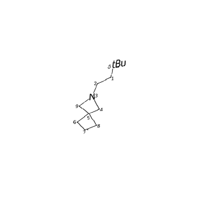 CC(C)(C)CCN1CC2(C[CH]C2)C1